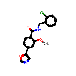 COc1cc(-c2cnco2)ccc1C(=O)NCc1ccccc1Cl